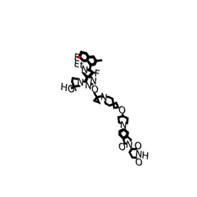 CCc1c(F)ccc2cc(C)cc(-c3ncc4c(N5CCC[C@@](C)(O)C5)nc(OCC5(CN6CCC7(CC6)CC(OC6CCN(c8ccc9c(c8)CN(C8CCC(=O)NC8=O)C9=O)CC6)C7)CC5)nc4c3F)c12